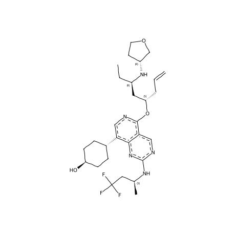 C=CC[C@@H](C[C@@H](CC)N[C@@H]1CCOC1)Oc1ncc([C@H]2CC[C@H](O)CC2)c2nc(N[C@@H](C)CC(F)(F)F)ncc12